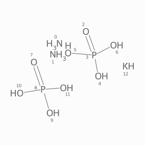 N.N.O=P(O)(O)O.O=P(O)(O)O.[KH]